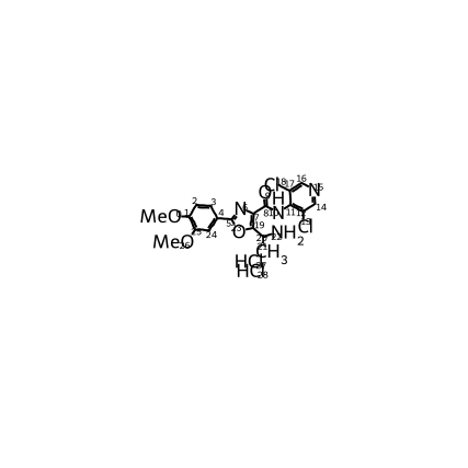 COc1ccc(-c2nc(C(=O)Nc3c(Cl)cncc3Cl)c([C@H](C)N)o2)cc1OC.Cl.Cl